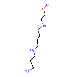 NCCCNCCCCNCCON